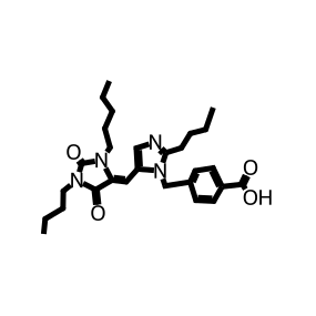 CCCCCN1C(=O)N(CCCC)C(=O)C1=Cc1cnc(CCCC)n1Cc1ccc(C(=O)O)cc1